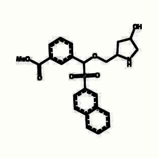 COC(=O)c1cccc(C(OCC2CC(O)CN2)S(=O)(=O)c2ccc3ccccc3c2)c1